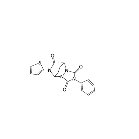 O=C1C2CCC(N1c1cccs1)n1c(=O)n(-c3ccccc3)c(=O)n12